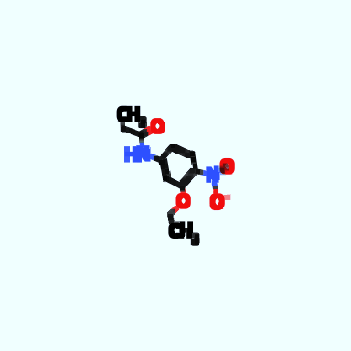 CCOc1cc(NC(=O)CC)ccc1[N+](=O)[O-]